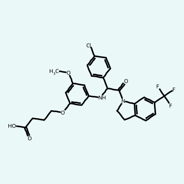 COc1cc(NC(C(=O)N2CCc3ccc(C(F)(F)F)cc32)c2ccc(Cl)cc2)cc(OCCCC(=O)O)c1